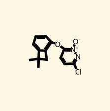 CC1(C)Cc2c(Oc3ccc(Cl)n[n+]3[O-])cccc21